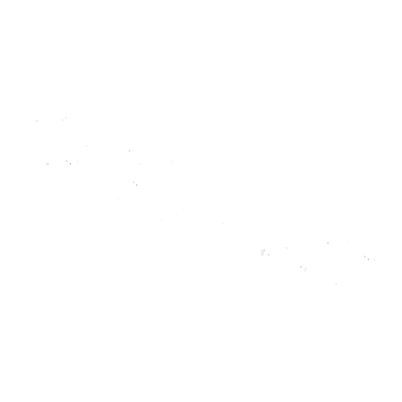 O=S(=O)(CCCCCCNC(=S)Nc1ccncc1)N(OCCN1CCOCC1)C1CCCC1